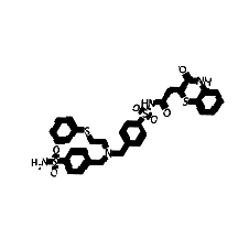 NS(=O)(=O)c1ccc(CN(CCSc2ccccc2)Cc2ccc(S(=O)(=O)NC(=O)CC3Sc4ccccc4NC3=O)cc2)cc1